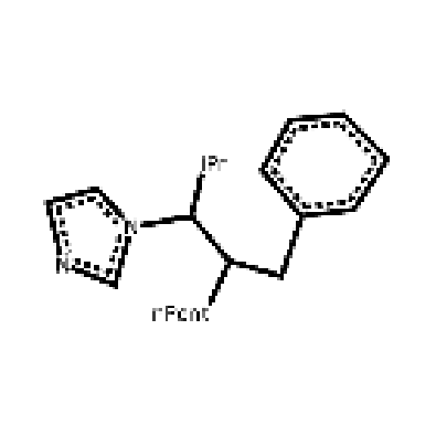 CCCCCC(Cc1ccccc1)C(C(C)C)n1ccnc1